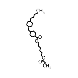 C=CC(=O)OCCCCCCOC(=O)C1CCC(CC2CCC(CCCCC)CC2)CC1